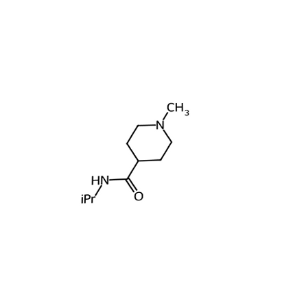 CC(C)NC(=O)C1CCN(C)CC1